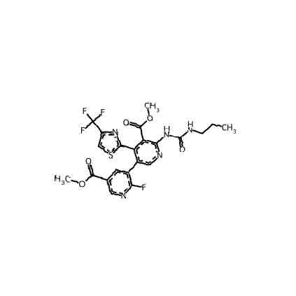 CCCNC(=O)Nc1ncc(-c2cc(C(=O)OC)cnc2F)c(-c2nc(C(F)(F)F)cs2)c1C(=O)OC